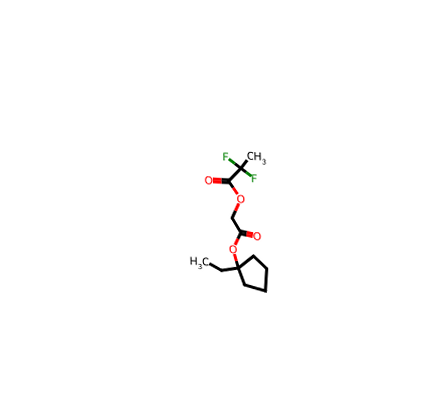 CCC1(OC(=O)COC(=O)C(C)(F)F)CCCC1